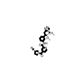 CC(Cc1nncn1C)c1cccc(NC(=O)c2cc(C(=O)N3CC[C@H](C#N)C3)ccn2)c1